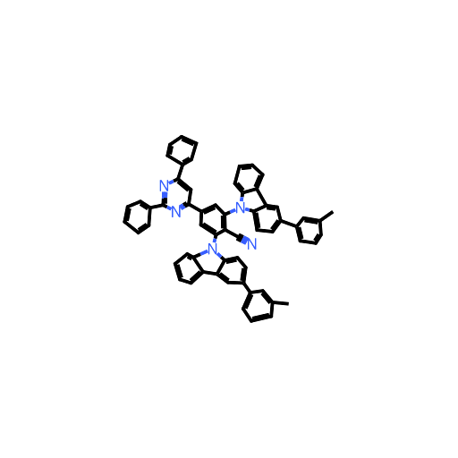 Cc1cccc(-c2ccc3c(c2)c2ccccc2n3-c2cc(-c3cc(-c4ccccc4)nc(-c4ccccc4)n3)cc(-n3c4ccccc4c4cc(-c5cccc(C)c5)ccc43)c2C#N)c1